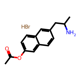 Br.CC(=O)Oc1ccc2cc(CC(C)N)ccc2c1